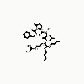 CCCCOC(OCCCC)[C@H](CCCNC(=N)N)NC(=O)[C@H](CC(C)C)NC(=O)[C@H]1CCC(=O)N1C(=O)OCc1ccccc1.Cl